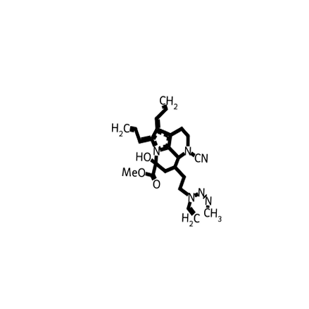 C=C/C=c1\c2c3n(\c1=C\C=C)C(O)(C(=O)OC)CC(CCN(C=C)/N=N\C)C3N(C#N)CC2